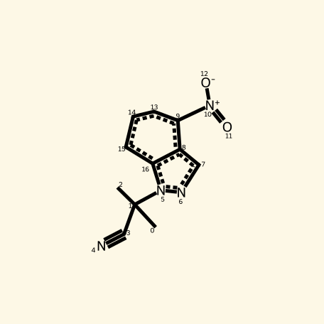 CC(C)(C#N)n1ncc2c([N+](=O)[O-])cccc21